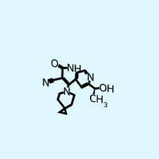 C[C@H](O)c1cc2c(N3CCC4(CC3)CC4)c(C#N)c(=O)[nH]c2cn1